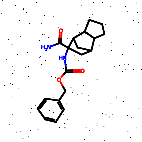 NC(=O)C1(NC(=O)OCc2ccccc2)CC2CC1C1CCCC21